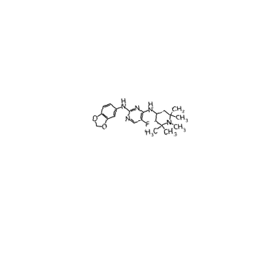 CN1C(C)(C)CC(Nc2nc(Nc3ccc4c(c3)OCO4)ncc2F)CC1(C)C